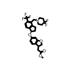 COC(=O)CC1COc2cc(O[C@@H]3CCc4c3ccc(C(F)(F)F)c4CN3CCC(F)(F)CC3)ccc21